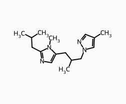 Cc1cnn(CC(C)Cc2cnc(CC(C)C)n2C)c1